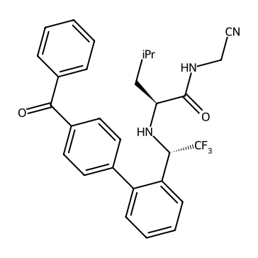 CC(C)C[C@H](N[C@@H](c1ccccc1-c1ccc(C(=O)c2ccccc2)cc1)C(F)(F)F)C(=O)NCC#N